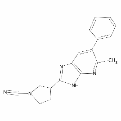 Cc1nc2[nH]c(C3CCN(C#N)C3)nc2cc1-c1ccccc1